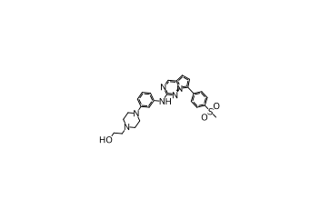 CS(=O)(=O)c1ccc(-c2ccc3cnc(Nc4cccc(N5CCN(CCO)CC5)c4)nn23)cc1